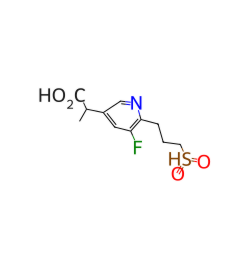 CC(C(=O)O)c1cnc(CCC[SH](=O)=O)c(F)c1